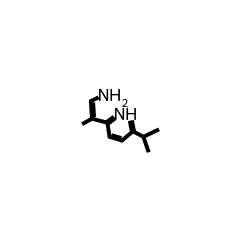 C=C(/C=C\C(=N)/C(C)=C\N)C(C)C